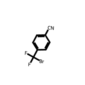 N#Cc1ccc(C(F)(F)Br)cc1